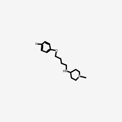 CN1CCC(NCCCCOc2ccc(F)cc2)CC1